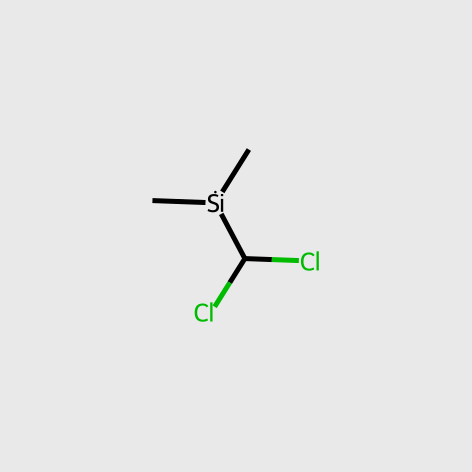 C[Si](C)C(Cl)Cl